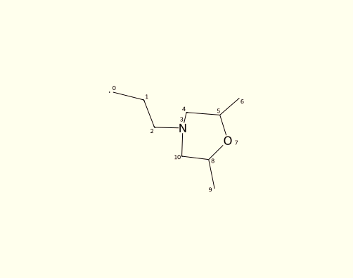 [CH2]CCN1CC(C)OC(C)C1